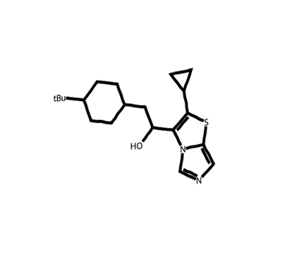 CC(C)(C)C1CCC(CC(O)c2c(C3CC3)sc3cncn23)CC1